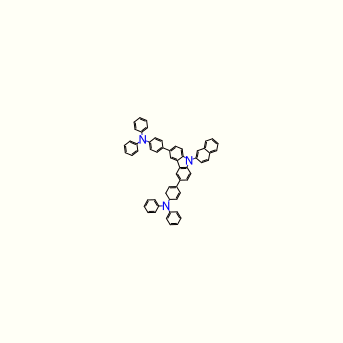 C1=CC(N(c2ccccc2)c2ccccc2)CC=C1c1ccc2c(c1)c1cc(-c3ccc(N(c4ccccc4)c4ccccc4)cc3)ccc1n2-c1ccc2ccccc2c1